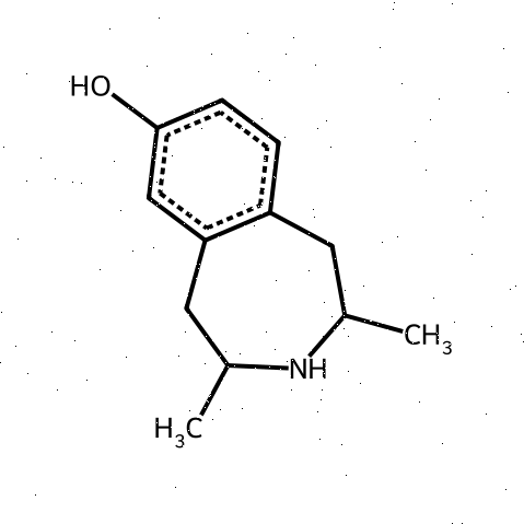 CC1Cc2ccc(O)cc2CC(C)N1